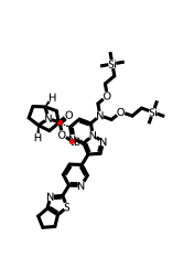 CC(C)(C)OC(=O)N1[C@@H]2CC[C@H]1C[C@@H](c1cc(N(COCC[Si](C)(C)C)COCC[Si](C)(C)C)n3ncc(-c4ccc(-c5nc6c(s5)CCC6)nc4)c3n1)C2